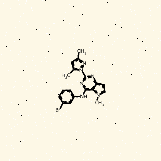 Cc1cc(C)n(-c2nc(Nc3cccc(Br)c3)c3c(ccn3C)n2)n1